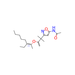 C=C(O/C(C)=C(/CC)CCCCC)C(C)(C)c1cc(NC(C)=O)on1